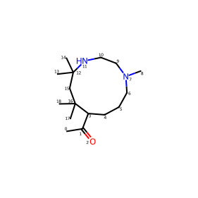 CC(=O)C1CCCN(C)CCNC(C)(C)CC1(C)C